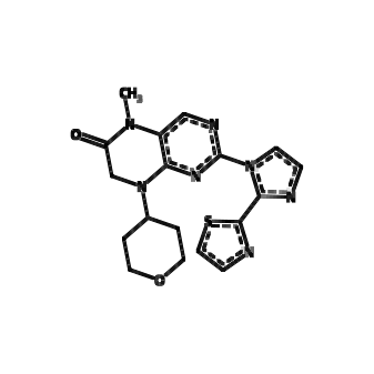 CN1C(=O)CN(C2CCOCC2)c2nc(-n3ccnc3-c3nccs3)ncc21